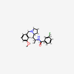 COc1cccc(CN2CCCC2CC(C)NC(=O)c2cccc(F)c2)c1